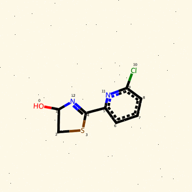 OC1CSC(c2cccc(Cl)n2)=N1